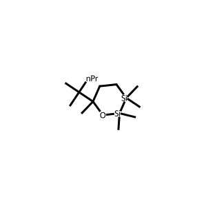 CCCC(C)(C)C1(C)CC[Si](C)(C)[Si](C)(C)O1